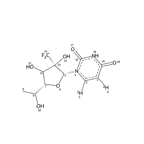 [2H]c1c([2H])n([C@@H]2O[C@H](C(C)O)C(O)[C@]2(O)C(F)(F)F)c(=O)[nH]c1=O